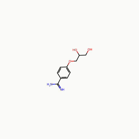 N=C(N)c1ccc(OCC(O)CO)cc1